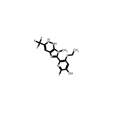 CCSc1cc(O)c(I)nc1-c1nc2c(n1C)NNC(C(F)(F)F)=C2